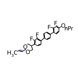 C/C=C/C1OCC(c2ccc(-c3ccc(-c4ccc(OCCC)c(F)c4F)cc3)c(F)c2F)CO1